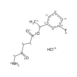 CC(OC(=O)CCC(=O)CN)c1cccc(F)c1.Cl